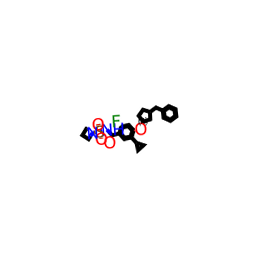 O=C(NS(=O)(=O)N1CCC1)c1cc(C2CC2)c(O[C@@H]2CCC(Cc3ccccc3)C2)cc1F